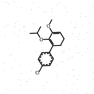 COC1=CC[CH]C(c2ccc(Cl)cc2)=C1OC(C)C